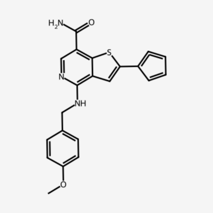 COc1ccc(CNc2ncc(C(N)=O)c3sc(C4=C=CC=C4)cc23)cc1